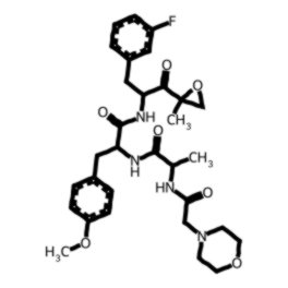 COc1ccc(CC(NC(=O)C(C)NC(=O)CN2CCOCC2)C(=O)NC(Cc2cccc(F)c2)C(=O)C2(C)CO2)cc1